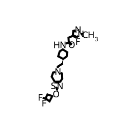 Cn1ncc(CC(=O)N[C@H]2CC[C@H](CCN3CCc4nc(OC5CC(F)(F)C5)sc4CC3)CC2)c1F